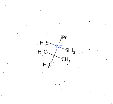 CC(C)[N+]([SiH3])([SiH3])C(C)(C)C